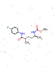 C=C(CCC(C)C(=O)Nc1ccc(F)cc1)NC(=O)OC(C)(C)C